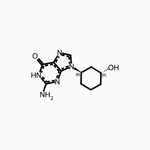 Nc1nc2c(ncn2[C@@H]2CCC[C@@H](O)C2)c(=O)[nH]1